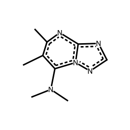 Cc1nc2ncnn2c(N(C)C)c1C